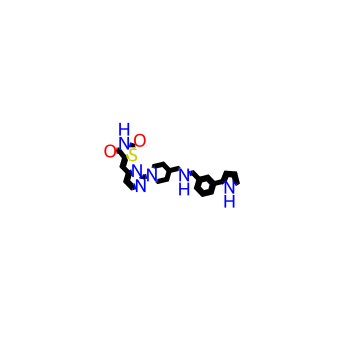 O=C1NC(=O)C(=Cc2ccnc(N3CCC(CNCc4cccc(-c5ccc[nH]5)c4)CC3)n2)S1